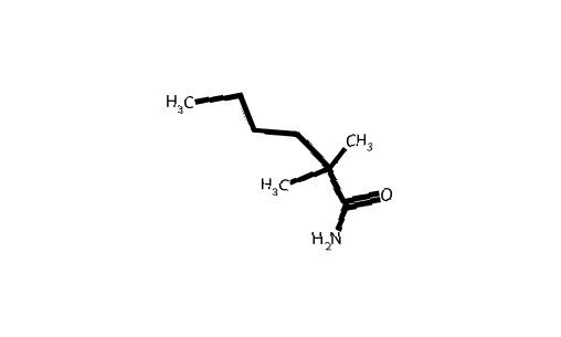 CCCCC(C)(C)C(N)=O